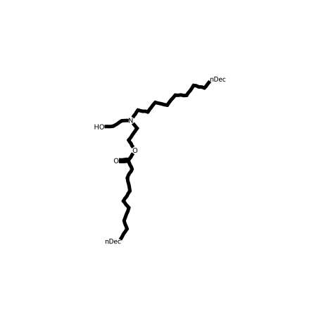 CCCCCCCCCCCCCCCCCCN(CCO)CCOC(=O)CCCCCCCCCCCCCCCCC